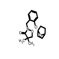 C1CC2CCC1O2.CC1(C)CON(Cc2ccccc2Cl)C1=O